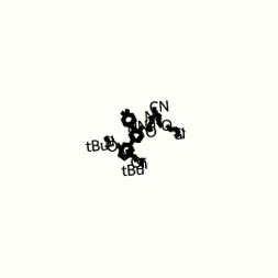 CC1(C)CC=C(c2cc(C3=CC4(CO[Si](C)(C)C(C)(C)C)C=CC(CO[Si](C)(C)C(C)(C)C)(C3)O4)ccc2NC(=O)c2nc(C#N)cn2COCC[Si](C)(C)C)CC1